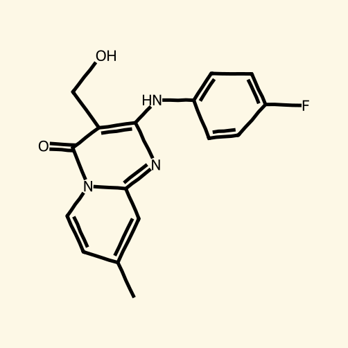 Cc1ccn2c(=O)c(CO)c(Nc3ccc(F)cc3)nc2c1